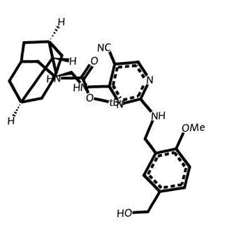 COc1ccc(CO)cc1CNc1ncc(C#N)c(NC[C@]23CC4C[C@H](C2)[C@@H](NC(=O)OC(C)(C)C)[C@@H](C4)C3)n1